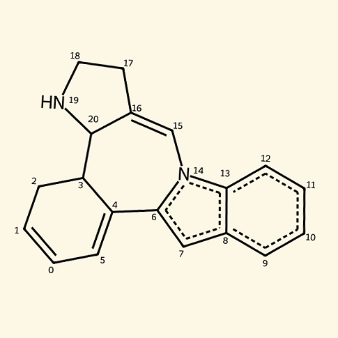 C1=CCC2C(=C1)c1cc3ccccc3n1C=C1CCNC12